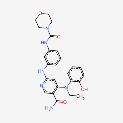 CCN(c1ccccc1O)c1cc(Nc2cccc(NC(=O)N3CCOCC3)c2)ncc1C(N)=O